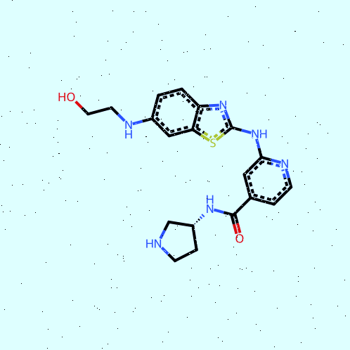 O=C(N[C@@H]1CCNC1)c1ccnc(Nc2nc3ccc(NCCO)cc3s2)c1